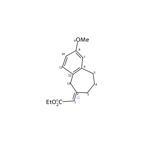 CCOC(=O)/C=C1/CCCc2cc(OC)ccc2C1